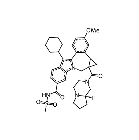 COc1ccc2c(c1)C1CC1(C(=O)N1CCN3CCC[C@H]3C1)Cn1c-2c(C2CCCCC2)c2ccc(C(=O)NS(C)(=O)=O)cc21